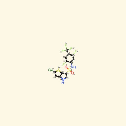 O=S(=O)(Nc1cc(F)c(C(F)(F)F)cc1F)c1c[nH]c2cc(Cl)sc12